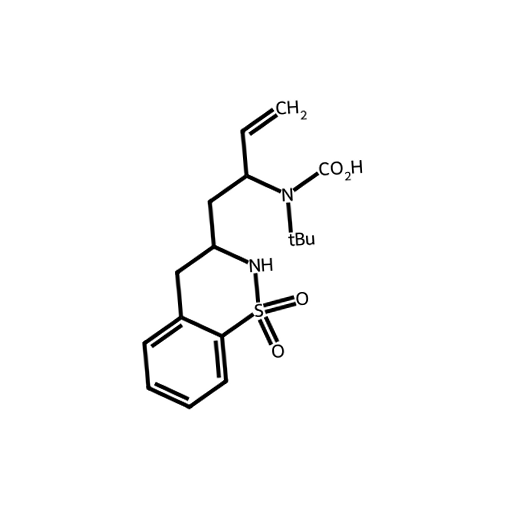 C=CC(CC1Cc2ccccc2S(=O)(=O)N1)N(C(=O)O)C(C)(C)C